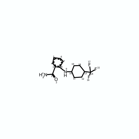 NC(=O)c1ccccc1NC1CCC(C(F)(F)F)CC1